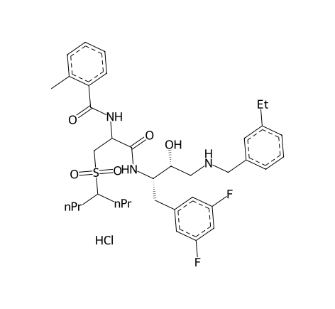 CCCC(CCC)S(=O)(=O)CC(NC(=O)c1ccccc1C)C(=O)N[C@@H](Cc1cc(F)cc(F)c1)[C@H](O)CNCc1cccc(CC)c1.Cl